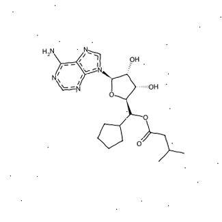 CC(C)CC(=O)OC(C1CCCC1)[C@H]1O[C@@H](n2cnc3c(N)ncnc32)[C@H](O)[C@@H]1O